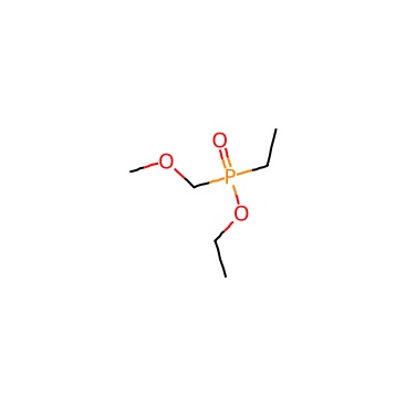 CCOP(=O)(CC)COC